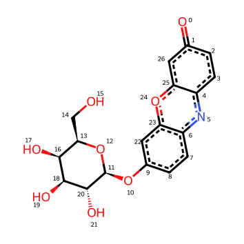 O=c1ccc2nc3ccc(O[C@@H]4O[C@H](CO)[C@H](O)[C@H](O)[C@H]4O)cc3oc-2c1